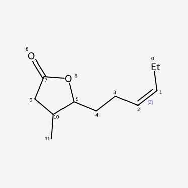 CC/C=C\CCC1OC(=O)CC1C